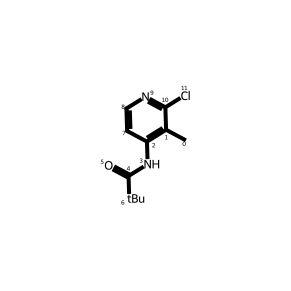 Cc1c(NC(=O)C(C)(C)C)ccnc1Cl